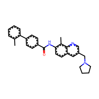 Cc1ccccc1-c1ccc(C(=O)Nc2ccc3cc(CN4CCCC4)cnc3c2C)cc1